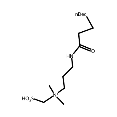 CCCCCCCCCCCCC(=O)NCCC[N+](C)(C)CS(=O)(=O)O